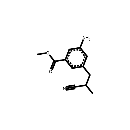 COC(=O)c1cc(N)cc(CC(C)C#N)c1